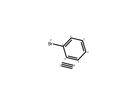 Brc1ccccc1.C#C